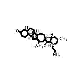 CC1=C2C[C@H]3[C@@H](CC[C@@H]4CC(=O)CC[C@@]43C)[C@@H]2CCC2(C1)O[C@@H]1C[C@H](C)CN(CCN)[C@H]1[C@H]2C